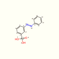 O=[As](O)(O)c1cccc(N=Nc2ccccc2)c1